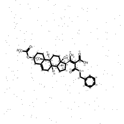 CC(=O)O[C@H]1CC[C@@]2(C)C(=CC[C@H]3[C@@H]4CC[C@H](C(C)=C(C(=O)O)C(=O)OCc5ccccc5)[C@@]4(C)CC[C@@H]32)C1